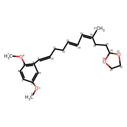 COc1ccc(OC)c(C=CCCC=CC=C(C)CCC2OCCO2)c1